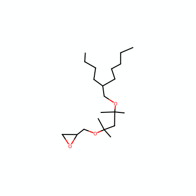 CCCCCC(CCCC)COC(C)(C)CC(C)(C)OCC1CO1